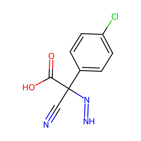 N#CC(N=N)(C(=O)O)c1ccc(Cl)cc1